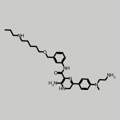 CCCNCCCCCOCc1cccc(NC(=O)C2=C(N)NCC(c3ccc(N(C)CCN)cc3)=N2)c1